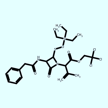 C=C(C)C(C(=O)OCC(Cl)(Cl)Cl)N1C(=O)C(NC(=O)Cc2ccccc2)C1SO[Si](CC)(CC)CC